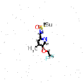 Cc1cc(C=N[S@+]([O-])C(C)(C)C)ncc1OCC(F)F